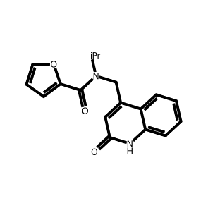 CC(C)N(Cc1cc(=O)[nH]c2ccccc12)C(=O)c1ccco1